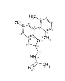 Cc1cccc(C)c1-c1cc(Cl)cc2c1OC(CNC(C)C)C2